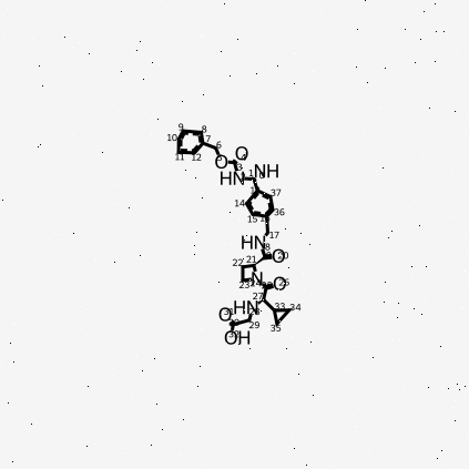 N=C(NC(=O)OCc1ccccc1)c1ccc(CNC(=O)[C@@H]2CCN2C(=O)[C@H](NCC(=O)O)C2CC2)cc1